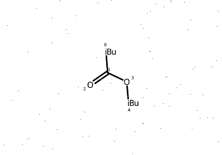 [CH2]C(CC)C(=O)OC(C)CC